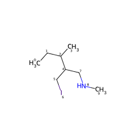 CCC(C)C(CI)CNC